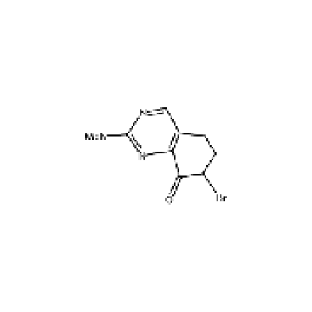 CNc1ncc2c(n1)C(=O)C(Br)CC2